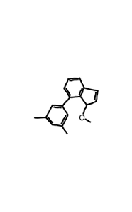 COC1C=Cc2cccc(-c3cc(C)cc(C)c3)c21